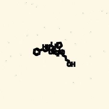 C[C@H](N[C@@H](CCc1ccccc1)C(=O)O)C(=O)N1CCC[C@H]1C(=O)OCCCCO